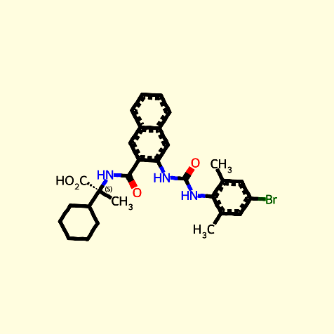 Cc1cc(Br)cc(C)c1NC(=O)Nc1cc2ccccc2cc1C(=O)N[C@](C)(C(=O)O)C1CCCCC1